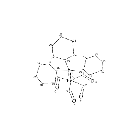 O=[CH][Fe]([CH]=O)([CH]=O)([CH]=O)[PH](C1CCCCC1)(C1CCCCC1)C1CCCCC1